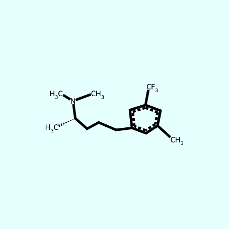 Cc1cc(CCC[C@H](C)N(C)C)cc(C(F)(F)F)c1